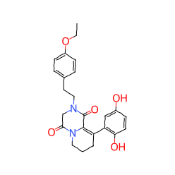 CCOc1ccc(CCN2CC(=O)N3CCCC(c4cc(O)ccc4O)=C3C2=O)cc1